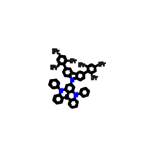 CC(C)c1cc(C(C)C)c(-c2ccc3c(c2)c2cc(-c4c(C(C)C)cc(C(C)C)cc4C(C)C)ccc2n3-c2cc3c4c(c2)N(c2ccccc2)c2ccccc2B4c2ccccc2N3c2ccccc2)c(C(C)C)c1